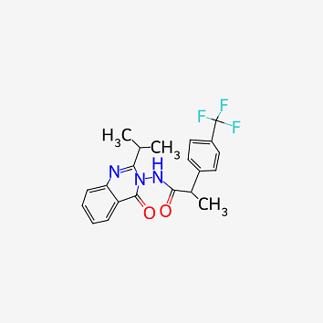 CC(C)c1nc2ccccc2c(=O)n1NC(=O)C(C)c1ccc(C(F)(F)F)cc1